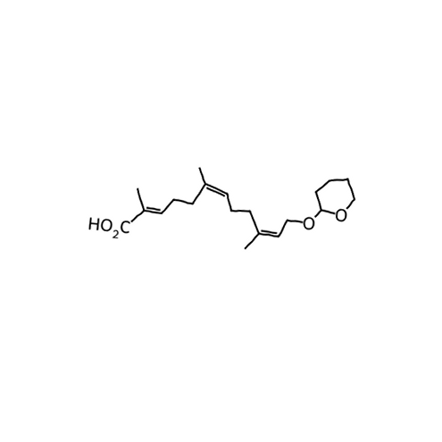 CC(=CCCC(C)=CCOC1CCCCO1)CCC=C(C)C(=O)O